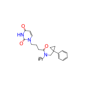 CC(C)N(CC1(c2ccccc2)CC1)C(=O)CCCn1ccc(=O)[nH]c1=O